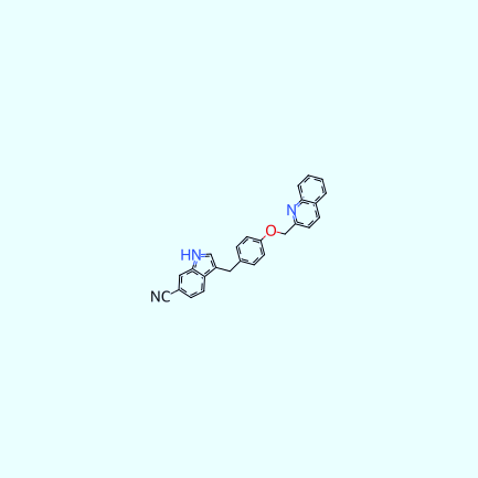 N#Cc1ccc2c(Cc3ccc(OCc4ccc5ccccc5n4)cc3)c[nH]c2c1